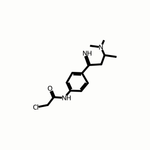 CC(CC(=N)c1ccc(NC(=O)CCl)cc1)N(C)C